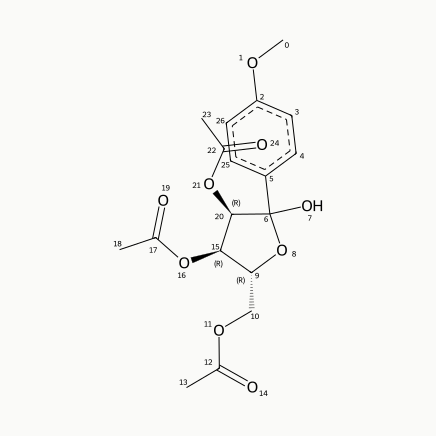 COc1ccc(C2(O)O[C@H](COC(C)=O)[C@@H](OC(C)=O)[C@H]2OC(C)=O)cc1